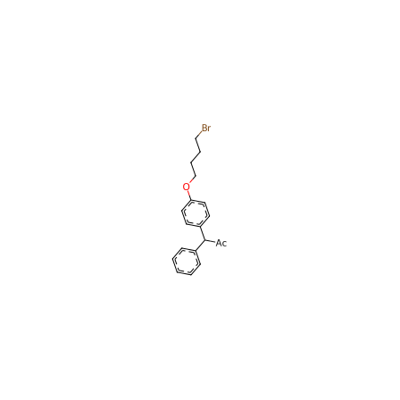 CC(=O)C(c1ccccc1)c1ccc(OCCCCBr)cc1